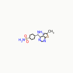 Cc1cc2c(C(N)c3ccc(S(N)(=O)=O)cc3)ncnc2s1